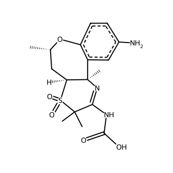 C[C@H]1C[C@H]2[C@](C)(N=C(NC(=O)O)C(C)(C)S2(=O)=O)c2cc(N)ccc2O1